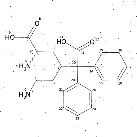 NCCC(C[C@H](N)C(=O)O)C(C(=O)O)(c1ccccc1)c1ccccc1